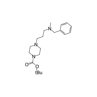 CN(CCCN1CCN(C(=O)OC(C)(C)C)CC1)Cc1ccccc1